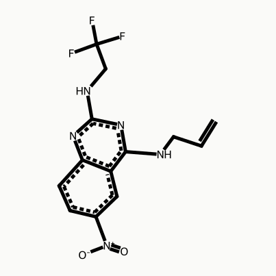 C=CCNc1nc(NCC(F)(F)F)nc2ccc([N+](=O)[O-])cc12